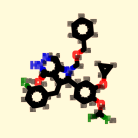 O=c1[nH]ncc2c1c(Cc1cccc(F)c1)c(-c1ccc(OC(F)F)c(OC3CC3)c1)n2COCc1ccccc1